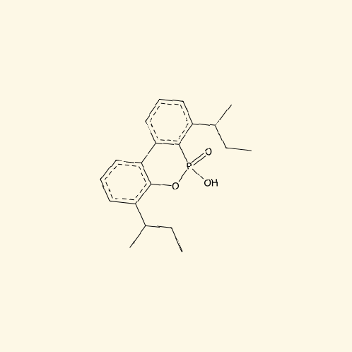 CCC(C)c1cccc2c1OP(=O)(O)c1c-2cccc1C(C)CC